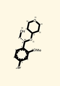 COc1cc(Br)ccc1[C@H](CO)OC1CCOCC1